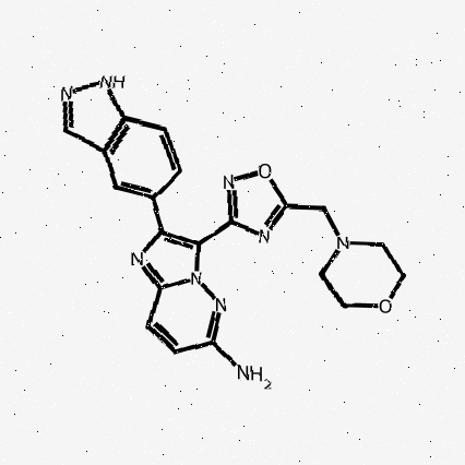 Nc1ccc2nc(-c3ccc4[nH]ncc4c3)c(-c3noc(CN4CCOCC4)n3)n2n1